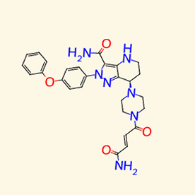 NC(=O)/C=C/C(=O)N1CCN([C@@H]2CCNc3c2nn(-c2ccc(Oc4ccccc4)cc2)c3C(N)=O)CC1